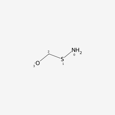 NSC[O]